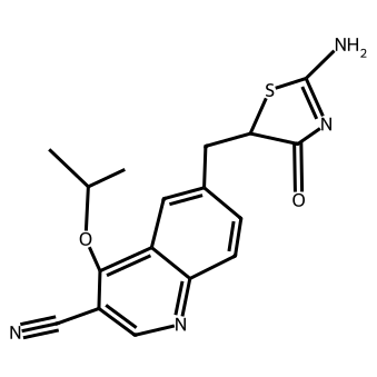 CC(C)Oc1c(C#N)cnc2ccc(CC3SC(N)=NC3=O)cc12